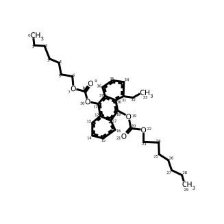 CCCCCCCOC(=O)Oc1c2ccccc2c(OC(=O)OCCCCCCC)c2c(CC)cccc12